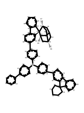 c1ccc(-c2ccc(N(c3ccc(-c4ccc5c(c4)C4(CCCCC4)c4ccccc4-5)cc3)c3ccc(-c4ccc5c(c4)[C@]4(c6ccccc6-5)[C@H]5CC6C[C@@H](C5)C[C@@H]4C6)cc3)cc2)cc1